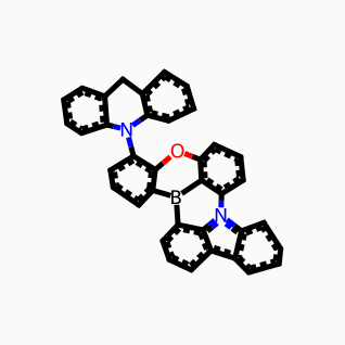 c1ccc2c(c1)Cc1ccccc1N2c1cccc2c1Oc1cccc3c1B2c1cccc2c4ccccc4n-3c12